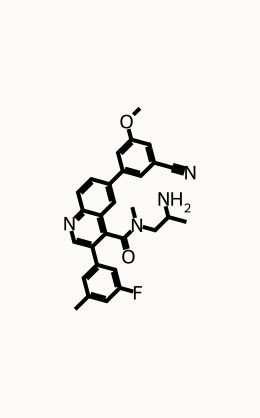 COc1cc(C#N)cc(-c2ccc3ncc(-c4cc(C)cc(F)c4)c(C(=O)N(C)CC(C)N)c3c2)c1